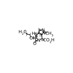 C=CCON1C(=O)N2C[C@@H]1c1cnn(C)c1C2C(=O)O